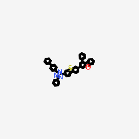 c1ccc(-c2ccc(-c3nc(-c4ccccc4)nc(-c4ccc5c(c4)sc4cc(-c6cc(-c7ccccc7)c7c(c6)oc6ccccc67)ccc45)n3)cc2)cc1